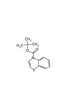 CC(C)(C)OC(=O)N1C=CSc2ccccc21